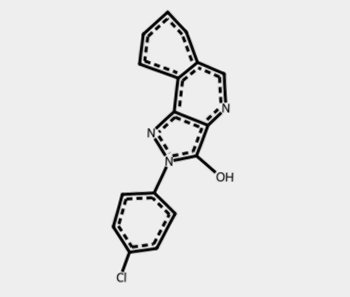 Oc1c2ncc3ccccc3c2nn1-c1ccc(Cl)cc1